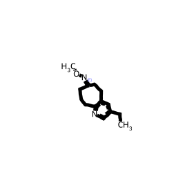 CCc1cnc2c(c1)CC/C(=N/OC)CCC2